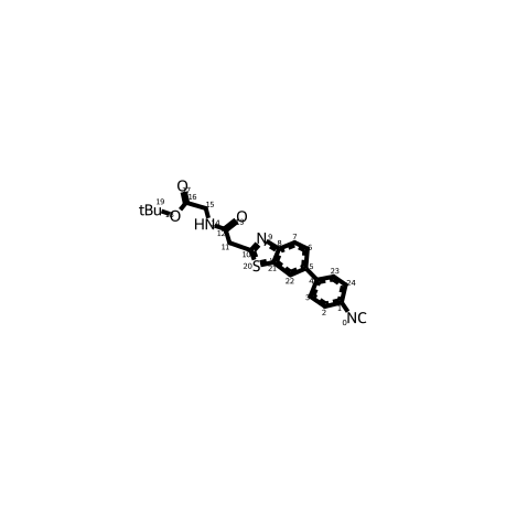 [C-]#[N+]c1ccc(-c2ccc3nc(CC(=O)NCC(=O)OC(C)(C)C)sc3c2)cc1